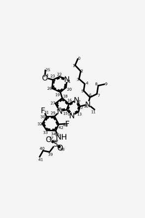 CCCCCCC(CCC)N(C)c1cnc2c(n1)c(-c1cncc(OC)c1)cn2-c1c(F)ccc(NS(=O)(=O)CCC)c1F